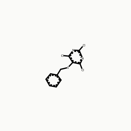 Clc1nc(Cl)c(SCc2ccccc2)c(Cl)n1